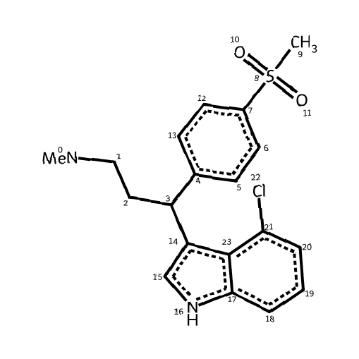 CNCCC(c1ccc(S(C)(=O)=O)cc1)c1c[nH]c2cccc(Cl)c12